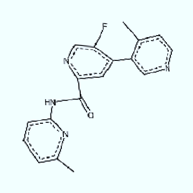 Cc1cccc(NC(=O)c2cc(-c3cnccc3C)c(F)cn2)n1